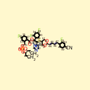 C=CCOP(=O)(OCC=C)OCc1cc(F)ccc1C(=O)O[C@@](Cn1cncn1)(c1ccc(F)cc1F)[C@@H](C)S[C@H]1CO[C@H](/C=C/C=C/c2ccc(C#N)cc2F)OC1